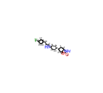 O=c1[nH]c2ccc([C@H]3CC[C@@H](NCCCc4ccc(F)cc4)CC3)cc2o1